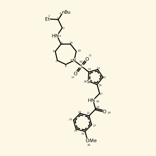 CCCCC(CC)CNC1CCCN(S(=O)(=O)c2ccc(CNC(=O)c3cccc(OC)c3)s2)CC1